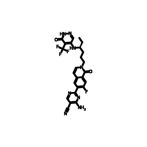 CC[C@@H](CCCn1ccc2cc(-c3ncc(C#N)c(N)n3)c(F)cc2c1=O)Nc1cn[nH]c(=O)c1C(F)(F)F